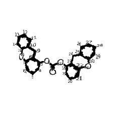 O=C(Oc1cccc2c1Cc1ccccc1O2)Oc1cccc2c1Cc1ccccc1O2